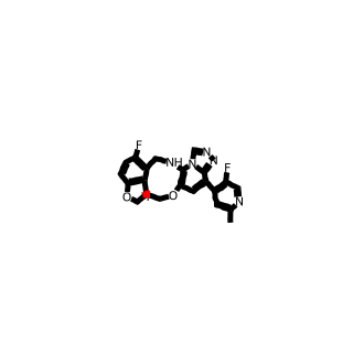 Cc1cc(-c2cc3c(n4cnnc24)NCc2c(F)ccc4c2[C@@H](CO4)CO3)c(F)cn1